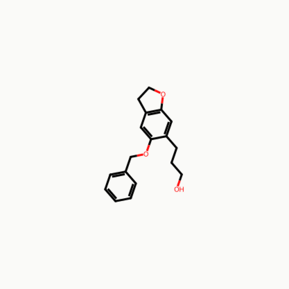 OCCCc1cc2c(cc1OCc1ccccc1)CCO2